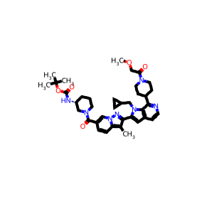 COCC(=O)N1CCC(c2nccc3cc(-c4nn5cc(C(=O)N6CCC[C@@H](NC(=O)OC(C)(C)C)C6)ccc5c4C)n(CC4CC4)c23)CC1